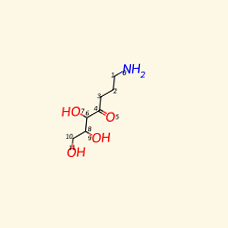 NCCCC(=O)C(O)C(O)CO